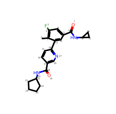 Cc1c(F)cc(C(=O)NC2CC2)cc1-c1ccc(C(=O)NC2CCCC2)cn1